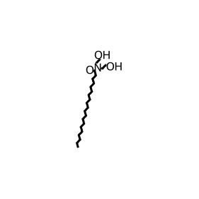 CCCCCCCCCCCCCCCCCCCC(=O)N(CCO)CCO